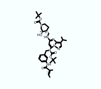 C/C=C(\C)C(=O)Nc1cccc(CN(C(=O)OC(C)(C)C)c2cc(NC[C@H]3CCN(C(=O)OC(C)(C)C)C[C@@H]3O)nc3c(C(C)C)cnn23)c1